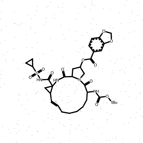 CC(C)(C)OC(=O)NC1CCCCC/C=C/C2CC2(C(=O)NS(=O)(=O)C2CC2)NC(=O)C2CC(OC(=O)c3ccc4c(c3)OCO4)CN2C1=O